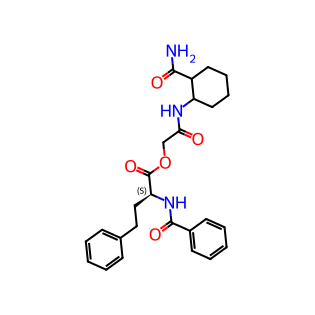 NC(=O)C1CCCCC1NC(=O)COC(=O)[C@H](CCc1ccccc1)NC(=O)c1ccccc1